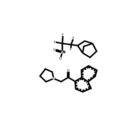 O=C(C[S+]1CCCC1)c1cccc2ccccc12.O=S(=O)([O-])C(F)(F)C(F)(F)C1CC2CCC1C2